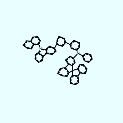 c1ccc(N(c2cccc(-c3cccc(-c4ccc5c6ccccc6n(-c6cccc7ccccc67)c5c4)c3)c2)c2ccc3c(c2)C2(c4ccccc4-c4ccccc42)c2ccccc2-3)cc1